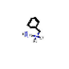 CC[N+](CC)(CC)Cc1ccccc1.N.[H]